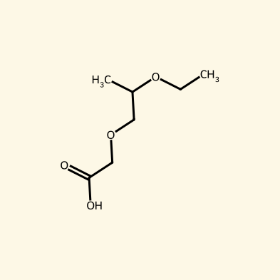 CCOC(C)COCC(=O)O